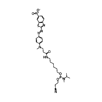 CC(C)N(C)P(OCCC#N)OCCCCCCNC(=O)CCN(C)c1ccc(N=Nc2nc3ccc([N+](=O)[O-])cc3s2)cc1